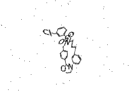 O=S(=O)(c1cccc(Cl)c1)N(CCCc1ccccc1)Cc1ccc(C2=NCCO2)cc1